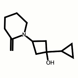 C=C1CCCCN1C1CC(O)(C2CC2)C1